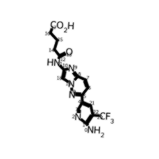 Nc1ncc(-c2ccc3nc(NC(=O)CCCC(=O)O)cn3n2)cc1C(F)(F)F